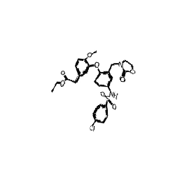 CCOC(=O)Cc1ccc(OC)c(Oc2ccc(NS(=O)(=O)c3ccc(Cl)cc3)cc2CN2CCOC2=O)c1